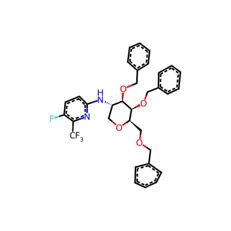 Fc1ccc(N[C@H]2CO[C@H](COCc3ccccc3)[C@H](OCc3ccccc3)[C@@H]2OCc2ccccc2)nc1C(F)(F)F